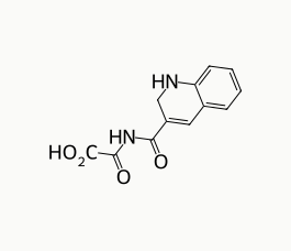 O=C(O)C(=O)NC(=O)C1=Cc2ccccc2NC1